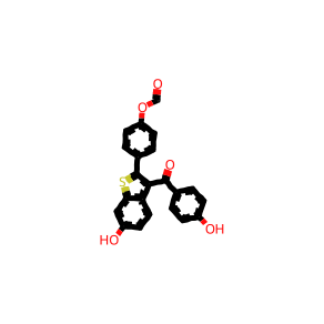 O=COc1ccc(-c2sc3cc(O)ccc3c2C(=O)c2ccc(O)cc2)cc1